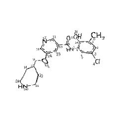 Cc1cc(Cl)cc(NC(=O)c2cncc(OCC3CCNCC3)c2)c1O